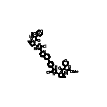 COC(=O)N[C@H](C(=O)N1[C@@H]2CC2C[C@H]1c1nc(Cl)c(-c2ccc(-c3ccc4nc(-c5[nH]c([C@@H]6CC7C[C@H]7N6C(=O)[C@@H](NC(=O)O)C6CCOCC6)nc5Cl)ccc4c3)cc2)[nH]1)C1CCOCC1